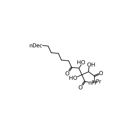 CCCCCCCCCCCCCCCC(=O)C(O)C(O)(C(=O)CCC)C(O)C(=O)CCC